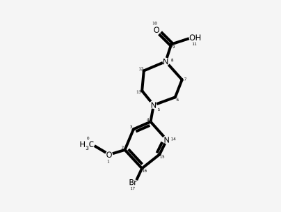 COc1cc(N2CCN(C(=O)O)CC2)ncc1Br